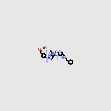 Cc1ncc(C(=O)NCCC2CCCCC2)cc1Nc1nn(C)c2nc(Nc3ccc(CC(=O)OC(C)(C)C)cc3)ncc12